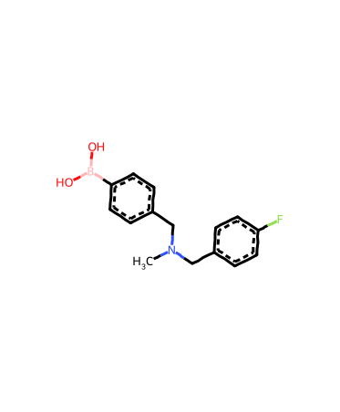 CN(Cc1ccc(F)cc1)Cc1ccc(B(O)O)cc1